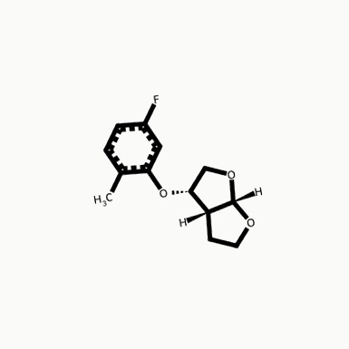 Cc1ccc(F)cc1O[C@@H]1CO[C@@H]2OCC[C@@H]21